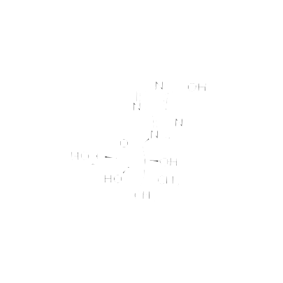 CC1(C)[C@]2(O)[C@@H](C(=O)O)O[C@@H](n3cnc4c(O)ncnc43)[C@]12O